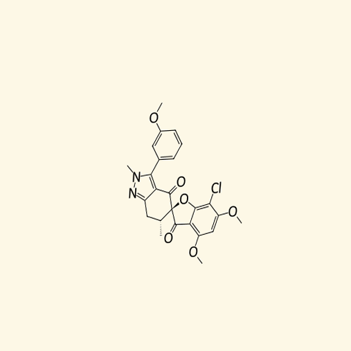 COc1cccc(-c2c3c(nn2C)C[C@@H](C)[C@]2(Oc4c(Cl)c(OC)cc(OC)c4C2=O)C3=O)c1